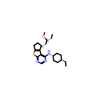 CC[C@H](C[C@H]1CCc2sc3ncnc(N[C@H]4CC[C@H](CC)CC4)c3c21)OC